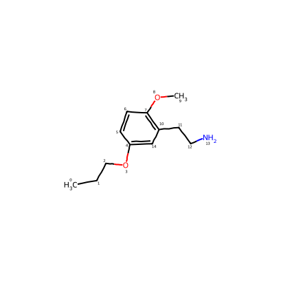 CCCOc1ccc(OC)c(CCN)c1